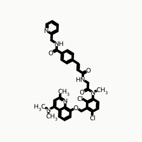 Cc1cc(N(C)C)c2cccc(OCc3c(Cl)ccc(N(C)C(=O)CNC(=O)C=Cc4ccc(C(=O)NCc5ccccn5)cc4)c3Cl)c2n1